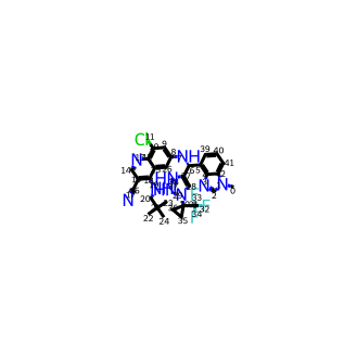 Cn1cnc2c([C@H](Nc3cc(Cl)c4ncc(C#N)c(NCC(C)(C)C)c4c3)C3=CN(C4(C(F)(F)F)CC4)NN3)cccc21